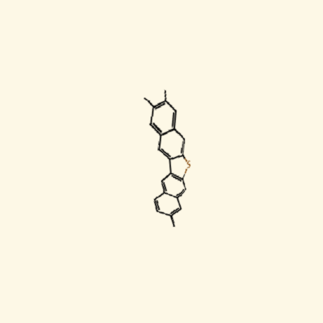 Cc1ccc2cc3c(cc2c1)sc1cc2cc(C)c(C)cc2cc13